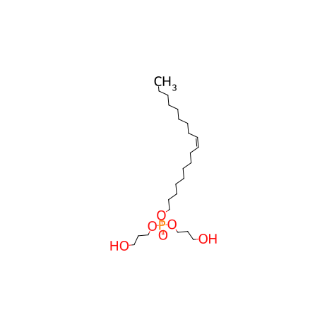 CCCCCCCC/C=C\CCCCCCCCOP(=O)(OCCCO)OCCCO